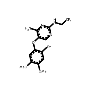 COc1cc(Oc2cnc(NCC(F)(F)F)nc2N)c(C(C)C)cc1OC